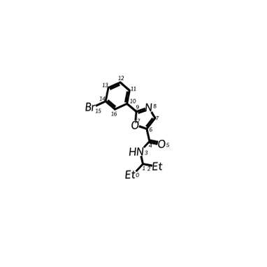 CCC(CC)NC(=O)c1cnc(-c2cccc(Br)c2)o1